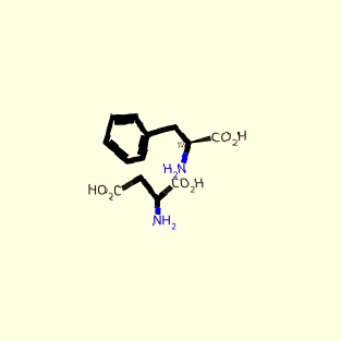 NC(CC(=O)O)C(=O)O.N[C@@H](Cc1ccccc1)C(=O)O